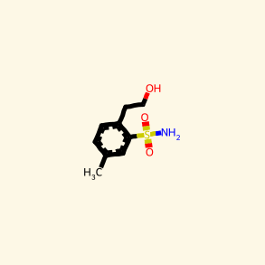 Cc1ccc(CCO)c(S(N)(=O)=O)c1